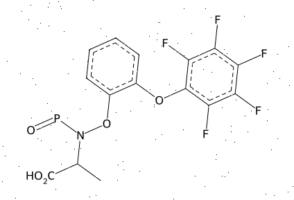 CC(C(=O)O)N(Oc1ccccc1Oc1c(F)c(F)c(F)c(F)c1F)P=O